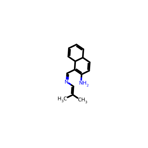 CC(C)=C/N=C\C1=C(N)C=CC2C=CC=CC12